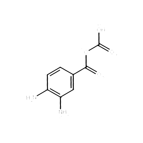 Nc1ccc(C(=O)OC(=O)O)cc1N